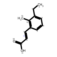 CCc1cccc(/C=C/C(=O)O)c1C